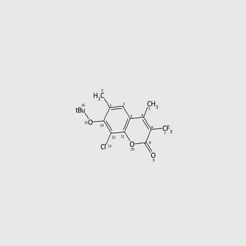 Cc1cc2c(C)c(C(F)(F)F)c(=O)oc2c(Cl)c1OC(C)(C)C